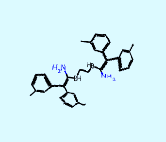 Cc1cccc(C(=C(N)BCCBC(N)=C(c2cccc(C)c2)c2cccc(C)c2)c2cccc(C)c2)c1